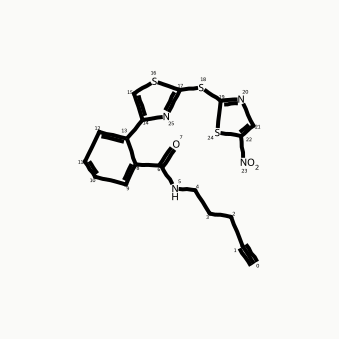 C#CCCCNC(=O)c1ccccc1-c1csc(Sc2ncc([N+](=O)[O-])s2)n1